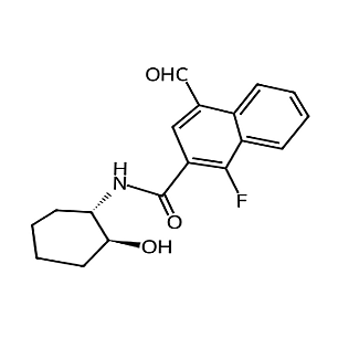 O=Cc1cc(C(=O)N[C@H]2CCCC[C@@H]2O)c(F)c2ccccc12